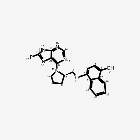 Oc1ccc(OC[C@H]2CCCN2c2ncnc3[nH]c(F)nc23)c2ccccc12